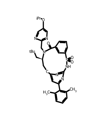 Cc1cccc(C)c1-c1cc2nc(n1)NS(=O)(=O)c1cccc(c1)C(=O)N(Cc1ncc(OC(C)C)cn1)[C@H](CC(C)(C)C)CC2